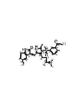 Cc1[nH]c(/C=C2\C(=O)Nc3ccc(Cl)cc32)c(CCC(=O)N(C)C)c1S(=O)(=O)c1cccc(C(=O)O)c1